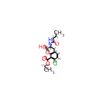 CCCC(=O)N[C@H]1Cc2ccc(Cl)c(C(=O)OCC)c2OB1O